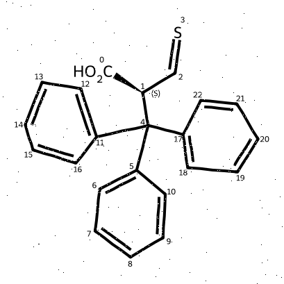 O=C(O)[C@@H](C=S)C(c1ccccc1)(c1ccccc1)c1ccccc1